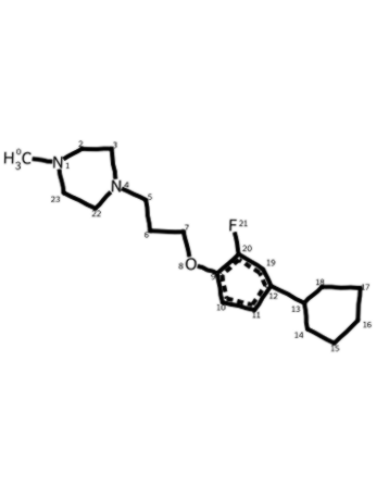 CN1CCN(CCCOc2ccc(C3CCCCC3)cc2F)CC1